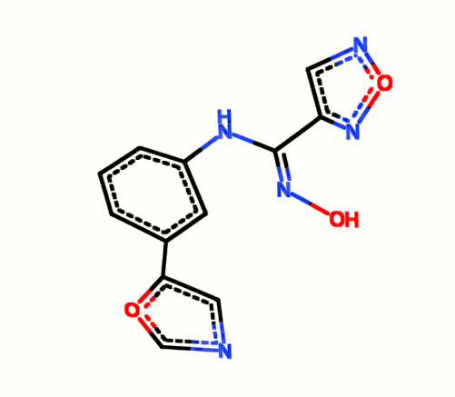 ON=C(Nc1cccc(-c2cnco2)c1)c1cnon1